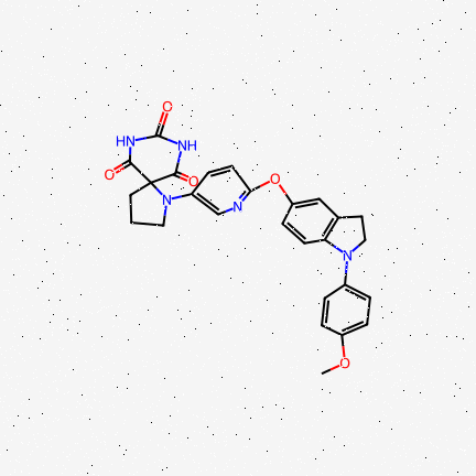 COc1ccc(N2CCc3cc(Oc4ccc(N5CCCC56C(=O)NC(=O)NC6=O)cn4)ccc32)cc1